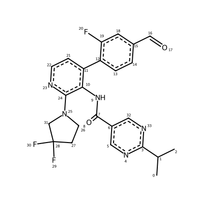 CC(C)c1ncc(C(=O)Nc2c(-c3ccc(C=O)cc3F)ccnc2N2CCC(F)(F)C2)cn1